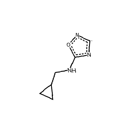 [c]1noc(NCC2CC2)n1